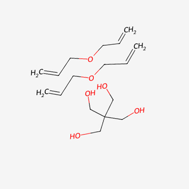 C=CCOCC=C.C=CCOCC=C.OCC(CO)(CO)CO